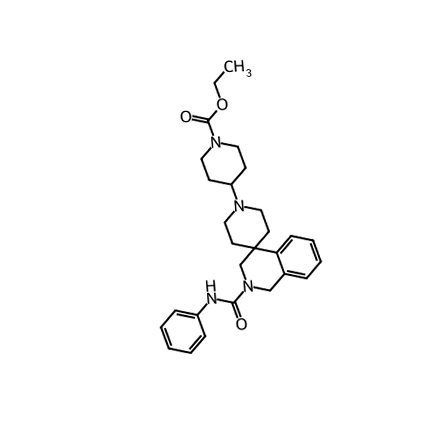 CCOC(=O)N1CCC(N2CCC3(CC2)CN(C(=O)Nc2ccccc2)Cc2ccccc23)CC1